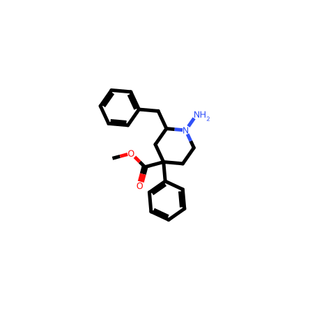 COC(=O)C1(c2ccccc2)CCN(N)C(Cc2ccccc2)C1